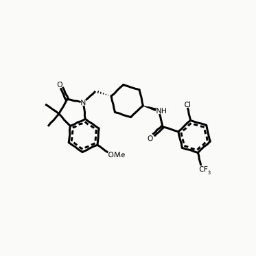 COc1ccc2c(c1)N(C[C@H]1CC[C@H](NC(=O)c3cc(C(F)(F)F)ccc3Cl)CC1)C(=O)C2(C)C